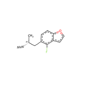 CN[C@H](C)Cc1ccc2occc2c1F